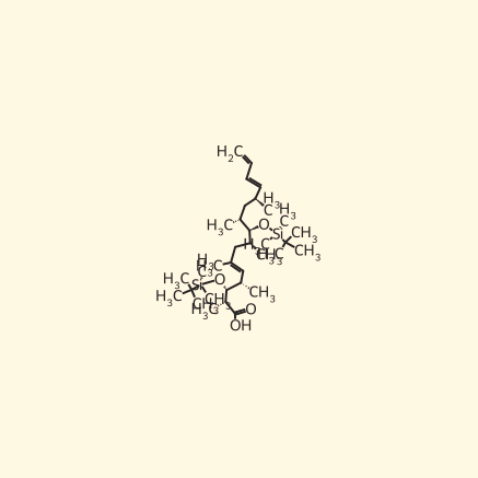 C=CC=C[C@@H](C)C[C@@H](C)[C@@H](O[Si](C)(C)C(C)(C)C)[C@@H](C)CC(C)=C[C@H](C)[C@@H](O[Si](C)(C)C(C)(C)C)[C@@H](C)C(=O)O